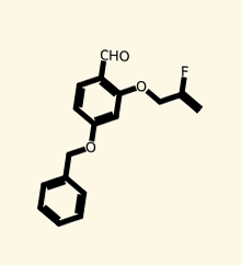 C=C(F)COc1cc(OCc2ccccc2)ccc1C=O